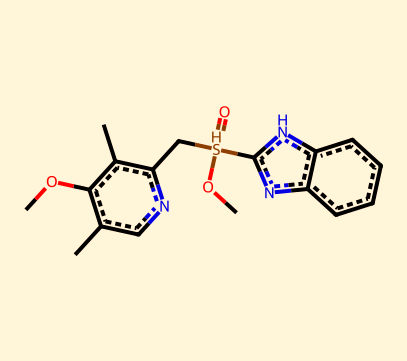 COc1c(C)cnc(C[SH](=O)(OC)c2nc3ccccc3[nH]2)c1C